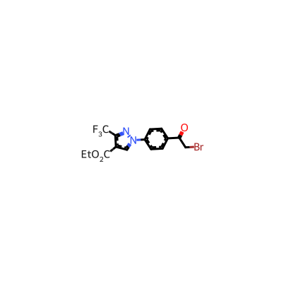 CCOC(=O)c1cn(-c2ccc(C(=O)CBr)cc2)nc1C(F)(F)F